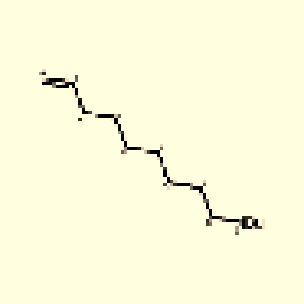 C=CCCCCCCCC(C)CC